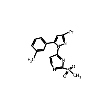 CC(C)c1cc(-c2cccc(C(F)(F)F)c2)n(-c2ccnc(S(C)(=O)=O)n2)n1